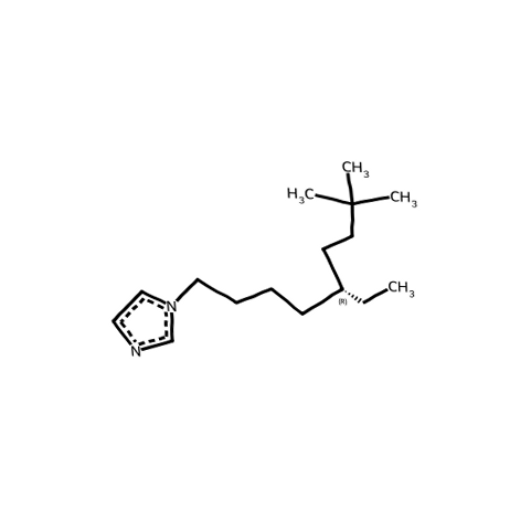 CC[C@H](CCCCn1ccnc1)CCC(C)(C)C